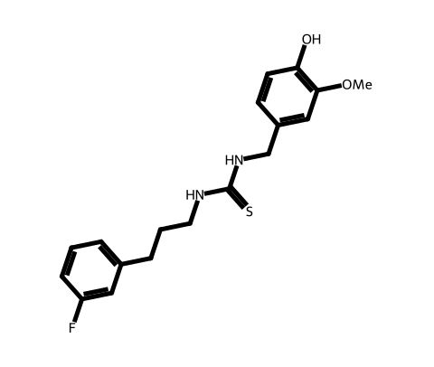 COc1cc(CNC(=S)NCCCc2cccc(F)c2)ccc1O